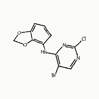 Clc1ncc(Br)c(Nc2cccc3c2OCO3)n1